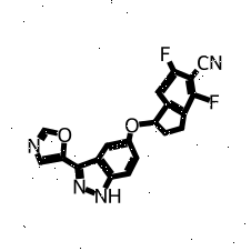 N#Cc1c(F)cc2c(c1F)CCC2Oc1ccc2[nH]nc(-c3cnco3)c2c1